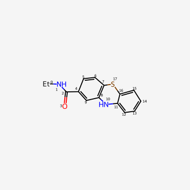 CCNC(=O)c1ccc2c(c1)Nc1ccccc1S2